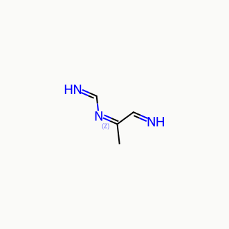 C/C(C=N)=N/C=N